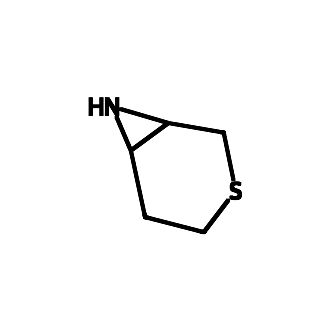 C1CC2NC2CS1